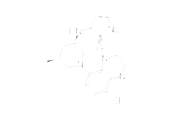 C[C@H]1C[C@@H](NC2CCN(C)C2=O)CN(c2ccc(Cl)c3nccnc23)C1